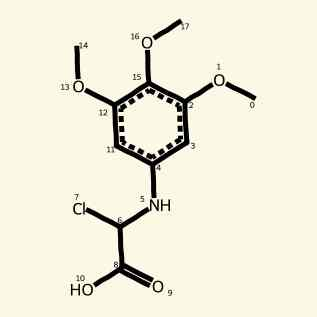 COc1cc(NC(Cl)C(=O)O)cc(OC)c1OC